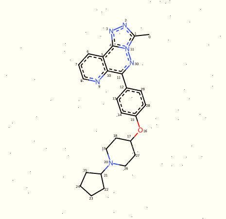 Cc1nnc2c3cccnc3c(-c3ccc(OC4CCN(C5CCCC5)CC4)cc3)nn12